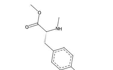 CN[C@H](Cc1ccc(O)cc1)C(=O)OC